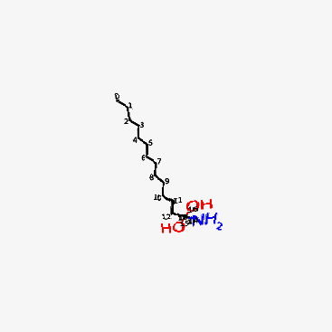 CCCCCCCCCCCCCC(N)(O)O